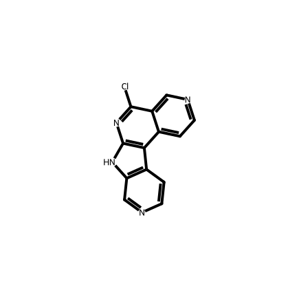 Clc1nc2[nH]c3cnccc3c2c2ccncc12